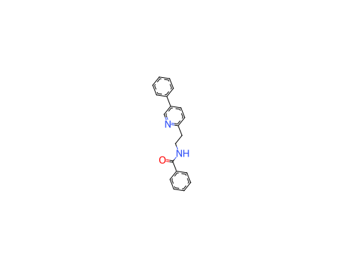 O=C(NCCc1ccc(-c2ccccc2)cn1)c1ccccc1